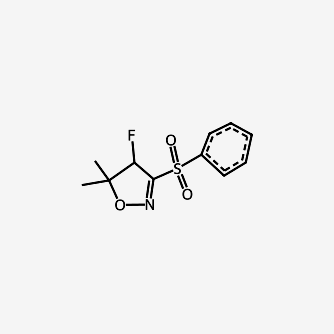 CC1(C)ON=C(S(=O)(=O)c2ccccc2)C1F